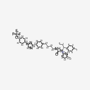 CCCc1ccc(C)cc1-n1c(C)cs/c1=N\C(=O)NCCCCc1ccc(-c2ncn(-c3ccc(OC(F)(F)F)cc3)n2)cc1